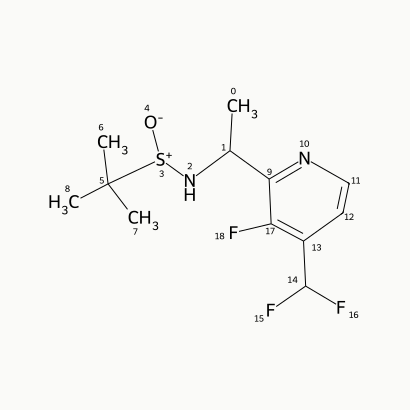 CC(N[S+]([O-])C(C)(C)C)c1nccc(C(F)F)c1F